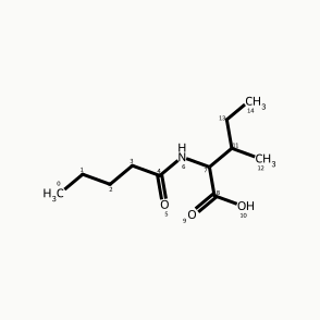 CCCCC(=O)NC(C(=O)O)C(C)CC